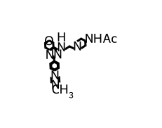 CC(=O)NC1CCN(CCCNc2nc(-c3ccc(N4CCN(C)CC4)cc3)nc3c2COCC3)CC1